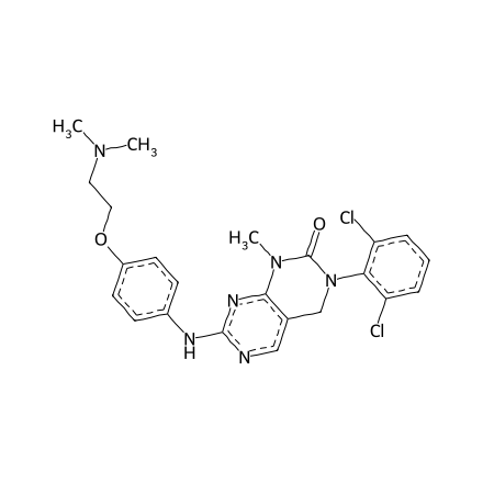 CN(C)CCOc1ccc(Nc2ncc3c(n2)N(C)C(=O)N(c2c(Cl)cccc2Cl)C3)cc1